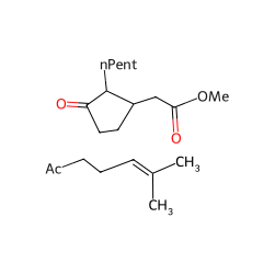 CC(=O)CCC=C(C)C.CCCCCC1C(=O)CCC1CC(=O)OC